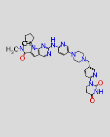 CN(C)C(=O)c1cc2cnc(Nc3ccc(N4CCN(Cc5ccc(N6CCC(=O)NC6=O)nc5)CC4)cn3)nc2n1C1CCCC1